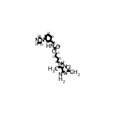 C=C(Cl)/N=C(/N)c1ncn(CCCCOC(=O)NCc2cccc(-n3ccnc3)c2)c1C